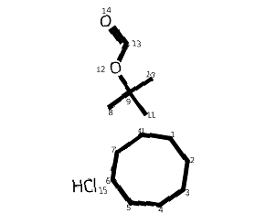 C1CCCCCCC1.CC(C)(C)OC=O.Cl